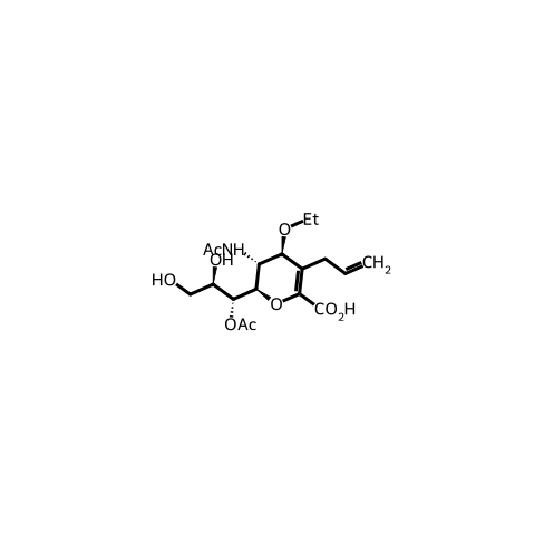 C=CCC1=C(C(=O)O)O[C@@H]([C@H](OC(C)=O)[C@H](O)CO)[C@H](NC(C)=O)[C@H]1OCC